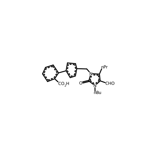 CCCCn1c(C=O)c(CCC)n(Cc2ccc(-c3ccccc3C(=O)O)cc2)c1=O